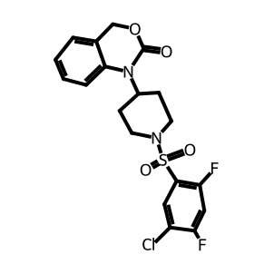 O=C1OCc2ccccc2N1C1CCN(S(=O)(=O)c2cc(Cl)c(F)cc2F)CC1